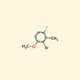 COc1ccc(F)c(C)c1Br